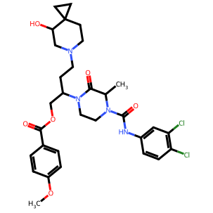 COc1ccc(C(=O)OCC(CCN2CCC3(CC3)C(O)C2)N2CCN(C(=O)Nc3ccc(Cl)c(Cl)c3)C(C)C2=O)cc1